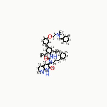 CCN(CCOc1cccc(-c2cc(C(C)C)c(NC(=O)N(CCCc3ccccc3)c3cc4cccnc4[nH]c3=O)c(C(C)C)c2)c1)Cc1ccccc1